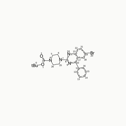 CC(C)(C)OC(=O)N1CCN(c2nc(-c3ccccc3)c3cc(Br)ccc3n2)CC1